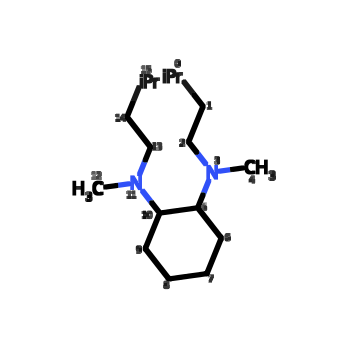 CC(C)CCN(C)C1CCCCC1N(C)CCC(C)C